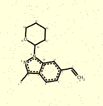 C=Cc1ccc2c(I)nn(C3CCCCO3)c2c1